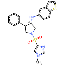 Cn1cnc(S(=O)(=O)N2CC(c3ccccc3)[C@H](Nc3ccc4sccc4c3)C2)c1